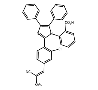 CC(=O)OC(C#N)=Cc1ccc(-c2nc(-c3ccccc3)c(-c3ccccc3)n2-c2ccccc2C(=O)O)c(Cl)c1